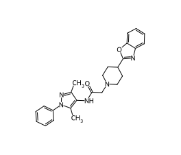 Cc1nn(-c2ccccc2)c(C)c1NC(=O)CN1CCC(c2nc3ccccc3o2)CC1